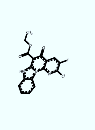 CCOC(=O)c1c(=O)c2cc(F)c(Cl)nc2n2c1[nH]c1ccccc12